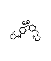 CN1CCCC1=Nc1ccc2c(c1)-c1cc(N=C3CCCN3C)ccc1S2(=O)=O